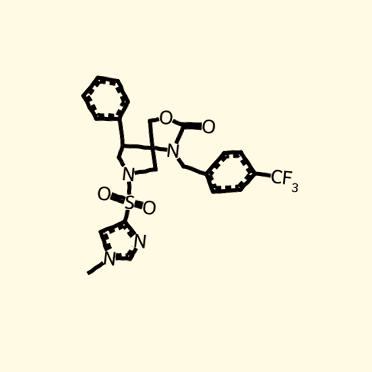 Cn1cnc(S(=O)(=O)N2CC(c3ccccc3)C3(COC(=O)N3Cc3ccc(C(F)(F)F)cc3)C2)c1